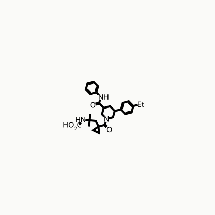 CCc1ccc(C2CC(C(=O)Nc3ccccc3)CN(C(=O)C3(CC(C)(C)NC(=O)O)CC3)C2)cc1